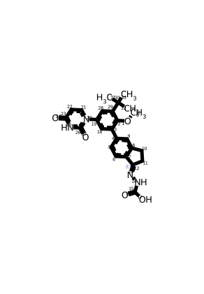 COc1c(-c2ccc3c(c2)CC/C3=N\NC(=O)O)cc(-n2ccc(=O)[nH]c2=O)cc1C(C)(C)C